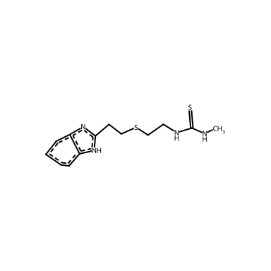 CNC(=S)NCCSCCc1nc2ccccc2[nH]1